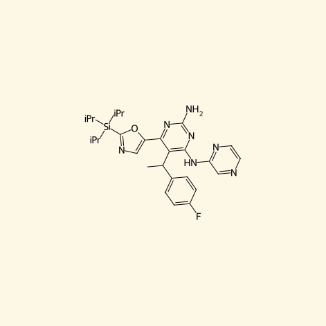 CC(c1ccc(F)cc1)c1c(Nc2cnccn2)nc(N)nc1-c1cnc([Si](C(C)C)(C(C)C)C(C)C)o1